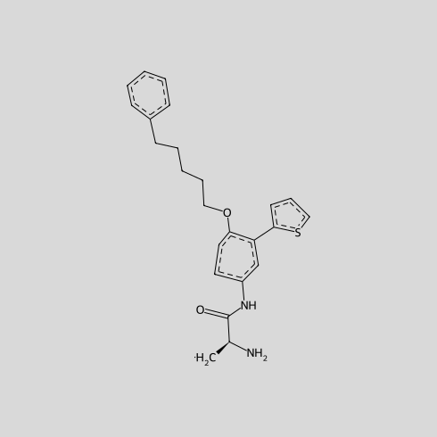 [CH2][C@H](N)C(=O)Nc1ccc(OCCCCCc2ccccc2)c(-c2cccs2)c1